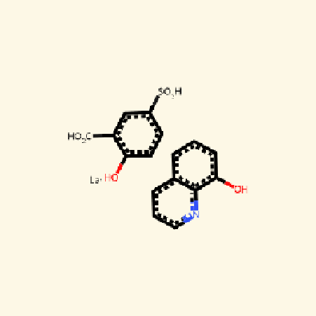 O=C(O)c1cc(S(=O)(=O)O)ccc1O.Oc1cccc2cccnc12.[La]